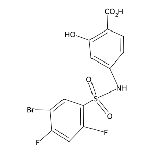 O=C(O)c1ccc(NS(=O)(=O)c2cc(Br)c(F)cc2F)cc1O